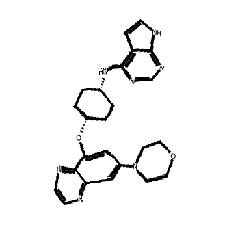 c1cnc2c(O[C@H]3CC[C@@H](Nc4ncnc5[nH]ccc45)CC3)cc(N3CCOCC3)cc2n1